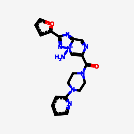 N[N+]12C=C(C(=O)N3CCN(c4ccccn4)CC3)N=CC1=NC(c1ccco1)=N2